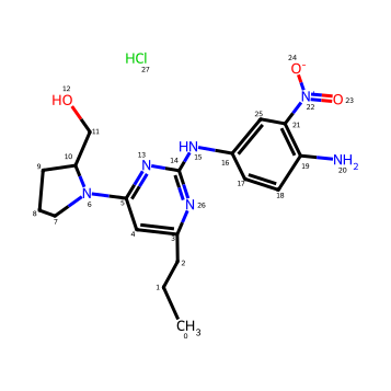 CCCc1cc(N2CCCC2CO)nc(Nc2ccc(N)c([N+](=O)[O-])c2)n1.Cl